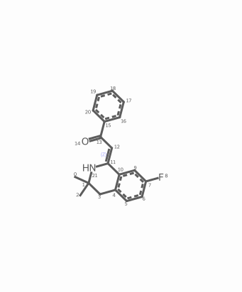 CC1(C)Cc2ccc(F)cc2/C(=C/C(=O)c2ccccc2)N1